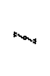 Cc1cc(C)c[n+](CCCCc2ccc(CCCC[n+]3cc(C)cc(C)c3)cc2)c1